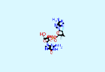 Nc1nc2c(ncn2[C@@H]2O[C@H](CO)C(O)C2OP(=O)(O)OC[C@H]2O[C@@H](n3cnc4c(N)ncnc43)C(F)C3C[C@H]32)c(=O)[nH]1